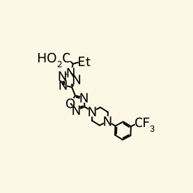 CCC(C(=O)O)n1nnc(-c2nc(N3CCN(c4cccc(C(F)(F)F)c4)CC3)no2)n1